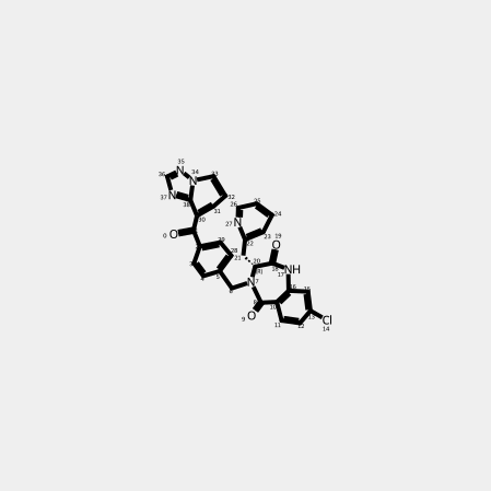 O=C(c1ccc(CN2C(=O)c3ccc(Cl)cc3NC(=O)[C@H]2Cc2ccccn2)cc1)c1cccn2ncnc12